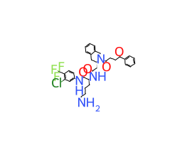 NCCCC[C@H](NC(=O)C[C@@H]1Cc2ccccc2CN1C(=O)CCC(=O)c1ccccc1)C(=O)Nc1ccc(C(F)(F)F)c(Cl)c1